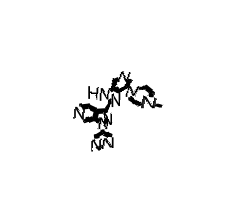 CN1CCN(c2cncc3[nH]c(-c4nn(-c5cncnc5)c5cnccc45)nc23)CC1